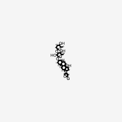 CC1OC(O[C@@H]2[C@H](O)C(O[C@H]3CCC4(C)C5CCC6(C)[C@@H](C7=CC(=O)OC7)CC[C@]6(O)C5CC[C@@H]4C3)OC(C)[C@@H]2O)CC[C@H]1O